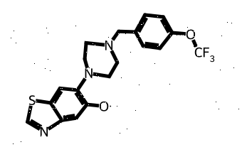 [O]c1cc2ncsc2cc1N1CCN(Cc2ccc(OC(F)(F)F)cc2)CC1